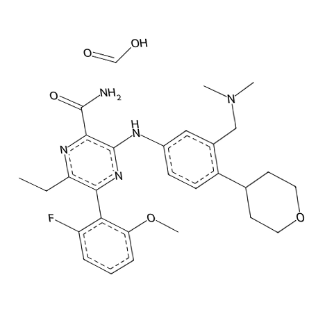 CCc1nc(C(N)=O)c(Nc2ccc(C3CCOCC3)c(CN(C)C)c2)nc1-c1c(F)cccc1OC.O=CO